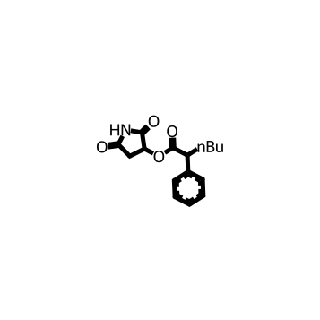 CCCCC(C(=O)OC1CC(=O)NC1=O)c1ccccc1